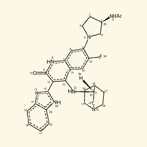 CC(=O)N[C@@H]1CCN(c2cc3[nH]c(=O)c(-c4nc5ccccc5[nH]4)c(N[C@H]4CN5CCC4CC5)c3cc2F)C1